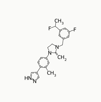 C=C1N(Cc2cc(F)cc(C(C)F)c2)CCN1c1ccc(-c2cn[nH]c2)c(C)c1